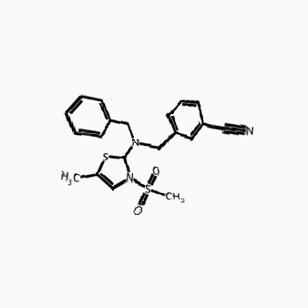 CC1=CN(S(C)(=O)=O)C(N(Cc2ccccc2)Cc2cccc(C#N)c2)S1